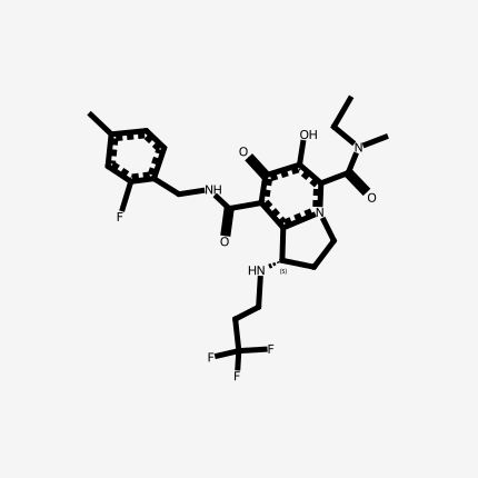 CCN(C)C(=O)c1c(O)c(=O)c(C(=O)NCc2ccc(C)cc2F)c2n1CC[C@@H]2NCCC(F)(F)F